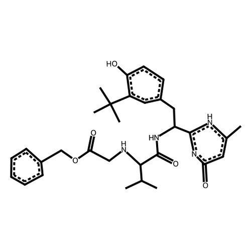 Cc1cc(=O)nc(C(Cc2ccc(O)c(C(C)(C)C)c2)NC(=O)C(NCC(=O)OCc2ccccc2)C(C)C)[nH]1